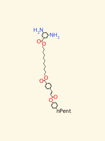 CCCCCc1ccc(OC(=O)/C=C/c2ccc(C(=O)OCCCCCCCCCCCOC(=O)c3cc(N)cc(N)c3)cc2)cc1